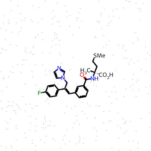 CSCC[C@](C)(NC(=O)c1cccc(C=C(Cn2ccnc2)c2ccc(F)cc2)c1)C(=O)O